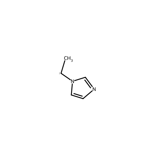 C[C]n1ccnc1